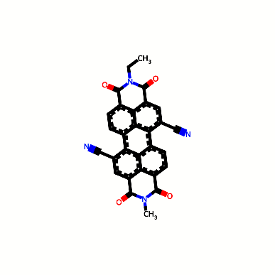 CCN1C(=O)c2ccc3c4c(C#N)cc5c6c(ccc(c7c(C#N)cc(c2c37)C1=O)c64)C(=O)N(C)C5=O